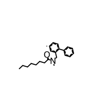 CCCCCCCC(=O)N(C)Cc1c[c]ccc1-c1ccccc1